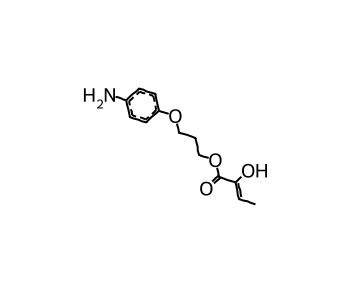 CC=C(O)C(=O)OCCCOc1ccc(N)cc1